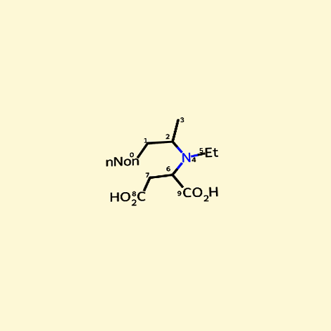 CCCCCCCCCCC(C)N(CC)C(CC(=O)O)C(=O)O